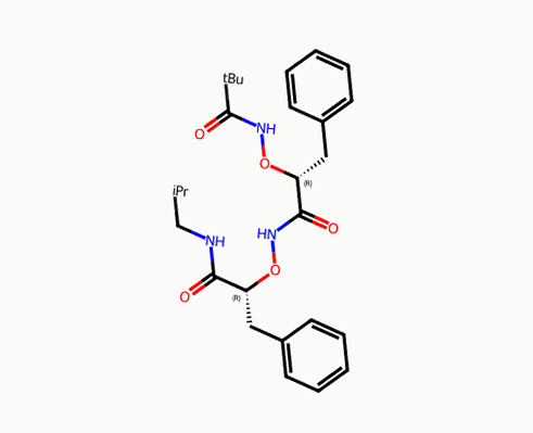 CC(C)CNC(=O)[C@@H](Cc1ccccc1)ONC(=O)[C@@H](Cc1ccccc1)ONC(=O)C(C)(C)C